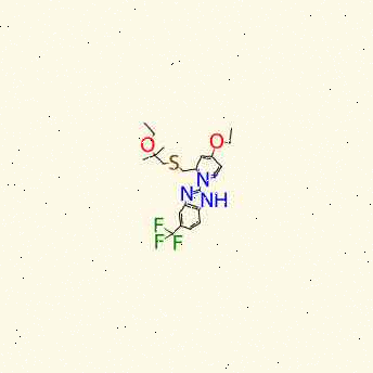 CCOc1cc[n+](-c2nc3cc(C(F)(F)F)ccc3[nH]2)c(CSCC(C)(C)OCC)c1